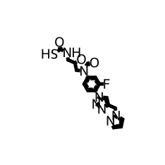 O=C(S)NCC1CN(c2ccc(-n3cc(Cn4cccn4)nn3)c(F)c2)C(=O)O1